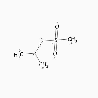 C[C](C)CS(C)(=O)=O